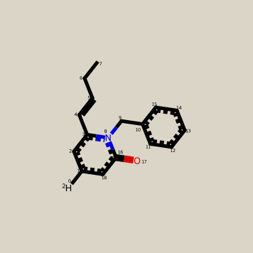 [2H]c1cc(C=CCC)n(Cc2ccccc2)c(=O)c1